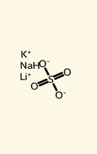 O=S(=O)([O-])[O-].[K+].[Li+].[NaH]